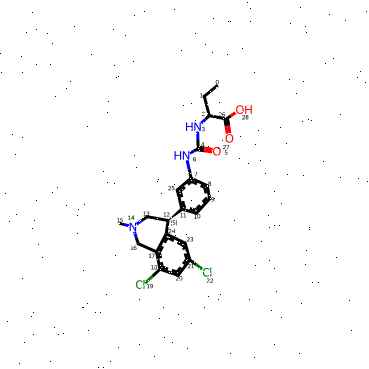 CCC(NC(=O)Nc1cccc([C@@H]2CN(C)Cc3c(Cl)cc(Cl)cc32)c1)C(=O)O